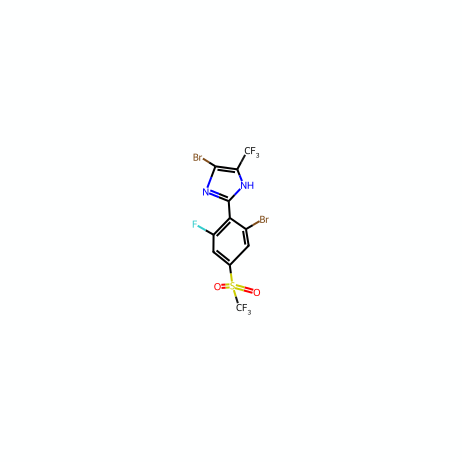 O=S(=O)(c1cc(F)c(-c2nc(Br)c(C(F)(F)F)[nH]2)c(Br)c1)C(F)(F)F